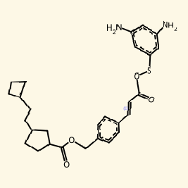 Nc1cc(N)cc(SOC(=O)/C=C/c2ccc(COC(=O)C3CCC(CCC4CCC4)C3)cc2)c1